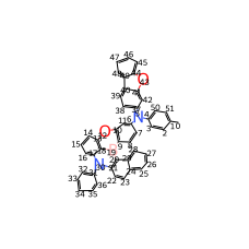 Cc1ccc(N(c2ccc3c(c2)Oc2cccc4c2B3c2c(ccc3ccccc23)N4c2ccccc2)c2ccc3c(c2)oc2ccccc23)cc1